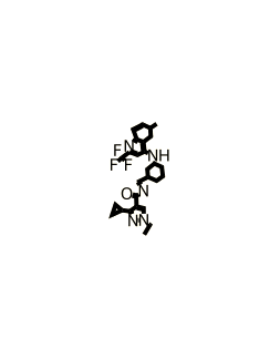 CCn1cc(C(=O)/N=C/C2CCC[C@H](Nc3cc(C(F)(F)F)nc4c3CC(C)C=C4)C2)c(C2CC2)n1